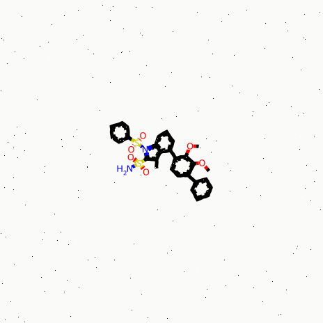 COc1c(-c2ccccc2)ccc(-c2cccc3c2c(C)c(S(N)(=O)=O)n3S(=O)(=O)c2ccccc2)c1OC